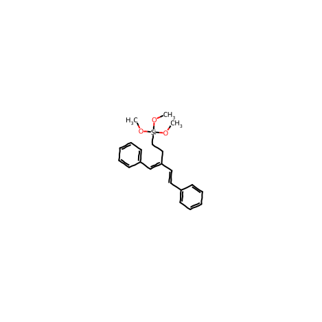 CO[Si](CCC(C=Cc1ccccc1)=Cc1ccccc1)(OC)OC